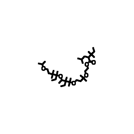 CCC(C)(C)C(CC(C)C)C(=O)OCCOC(C)(C)CCOC(C)(C)C(C)(CC)C(C)OC(C)(CC)C(C)(C)CCOC(C)C